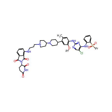 Cc1cc(Nc2ncc(Cl)c(Nc3ccccc3S(=O)(=O)C(C)C)n2)c(OC(C)C)cc1C1CCN(C2CCN(CCCNc3cccc4c3C(=O)N(C3CCC(=O)NC3=O)C4=O)CC2)CC1